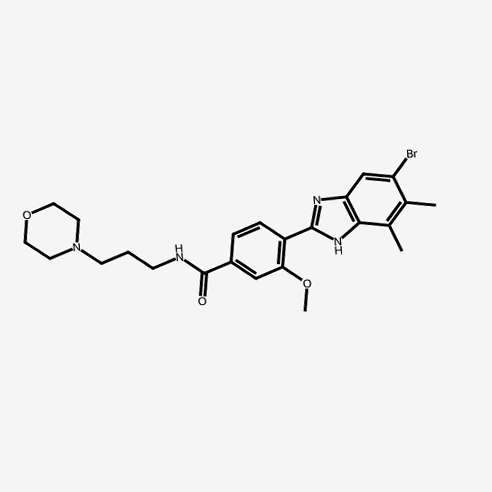 COc1cc(C(=O)NCCCN2CCOCC2)ccc1-c1nc2cc(Br)c(C)c(C)c2[nH]1